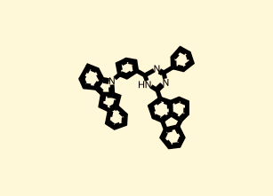 c1ccc(C2=NC(c3cccc(-n4c5ccccc5c5cc6ccccc6cc54)c3)NC(c3ccc4c5c(cccc35)-c3ccccc3-4)=N2)cc1